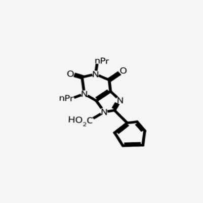 CCCn1c(=O)c2nc(-c3ccccc3)n(C(=O)O)c2n(CCC)c1=O